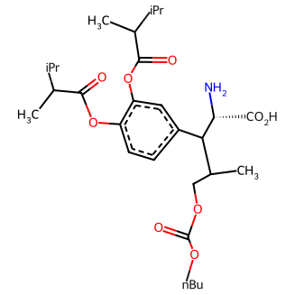 CCCCOC(=O)OCC(C)C(c1ccc(OC(=O)C(C)C(C)C)c(OC(=O)C(C)C(C)C)c1)[C@H](N)C(=O)O